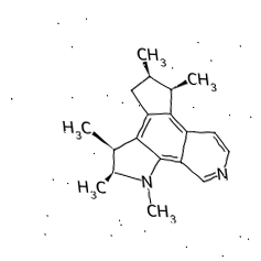 C[C@@H]1Cc2c3c(c4cnccc4c2[C@@H]1C)N(C)[C@@H](C)[C@H]3C